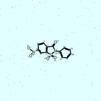 O=C1c2ccc([N+](=O)[O-])cc2S(=O)(=O)N1c1ccccc1